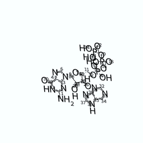 Nc1nc2c(ncn2[C@@H]2O[C@H](COP(=O)(O)OP(=O)(O)OP(=O)(O)O)[C@@H](O)[C@H]2O)c(=O)[nH]1.c1ncc2[nH]cnc2n1